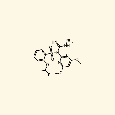 COc1cc(OC)nc(N(C(=N)NN)S(=O)(=O)c2ccccc2OC(F)F)n1